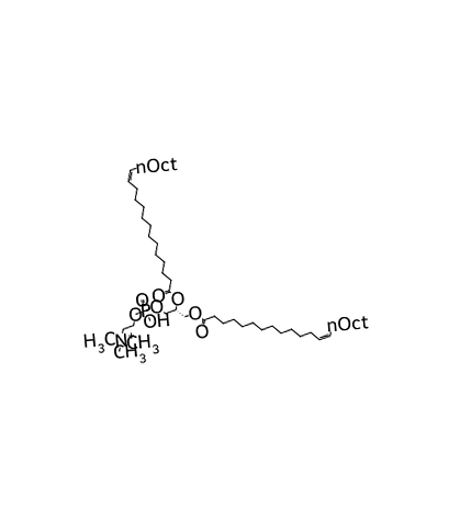 CCCCCCCC/C=C\CCCCCCCCCCCC(=O)OC[C@H](COP(=O)(O)OCC[N+](C)(C)C)OC(=O)CCCCCCCCCCC/C=C\CCCCCCCC